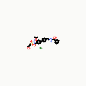 CC(C)Oc1cc(-c2ccc(CCNC[C@H](O)c3ccccc3)cc2)ccc1C(=O)NS(=O)(=O)CCCO.Cl